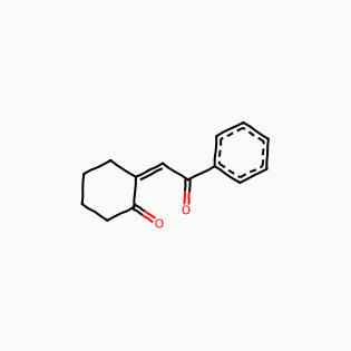 O=C1CCCCC1=CC(=O)c1ccccc1